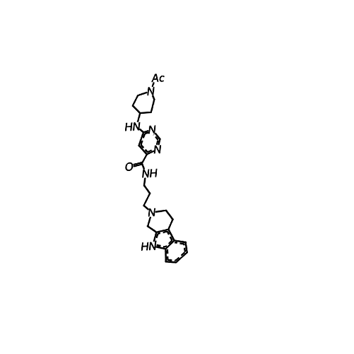 CC(=O)N1CCC(Nc2cc(C(=O)NCCCN3CCc4c([nH]c5ccccc45)C3)ncn2)CC1